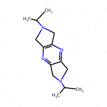 CC(C)N1Cc2nc3c(nc2C1)CN(C(C)C)C3